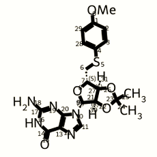 COc1ccc(SC[C@H]2O[C@@H](n3cnc4c(=O)[nH]c(N)nc43)[C@@H]3OC(C)(C)O[C@@H]32)cc1